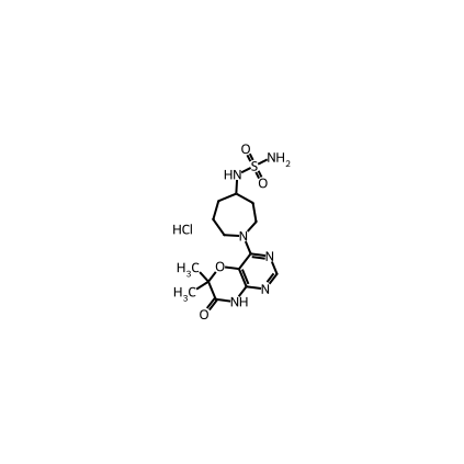 CC1(C)Oc2c(ncnc2N2CCCC(NS(N)(=O)=O)CC2)NC1=O.Cl